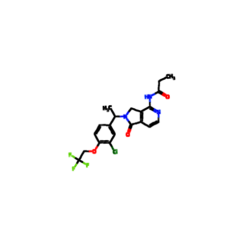 CCC(=O)Nc1nccc2c1CN(C(C)c1ccc(OCC(F)(F)F)c(Cl)c1)C2=O